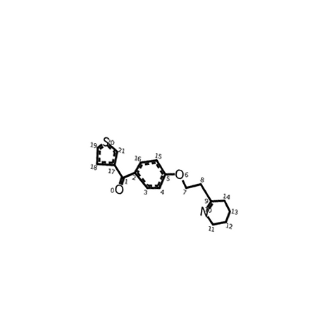 O=C(c1ccc(OCCC2=NCCCC2)cc1)c1ccsc1